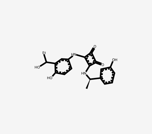 CCC(O)c1cc(Nc2c(N[C@H](C)c3cccc(O)c3)c(=O)c2=O)ccc1O